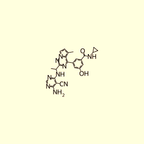 Cc1ccn2nc(C(C)Nc3ncnc(N)c3C#N)nc(-c3cc(O)cc(C(=O)NC4CC4)c3)c12